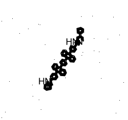 C1=CC2NC(c3ccc(-c4c5ccccc5c(-c5ccc(-c6c7ccccc7c(-c7ccc(C8=CN9C=CC(c%10ccccc%10)=CC9N8)cc7)c7ccccc67)cc5)c5ccccc45)cc3)=CN2C=C1